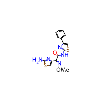 CON=C(C(=O)Nc1nc(-c2ccccc2)cs1)c1csc(N)n1